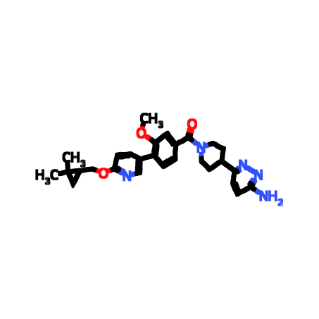 COc1cc(C(=O)N2CCC(c3ccc(N)nn3)CC2)ccc1-c1ccc(OCC2CC2(C)C)nc1